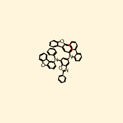 c1ccc(-c2nc3cc(N(c4ccc5oc6ccccc6c5c4)c4ccccc4-c4ccccc4)cc(N(c4ccccc4)c4cccc5oc6ccccc6c45)c3o2)cc1